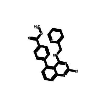 COC(=O)c1ccc(-c2cccc3nc(Cl)nc(NCc4ccccn4)c23)cc1